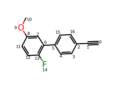 C#Cc1ccc(-c2cc(OC)ccc2F)cc1